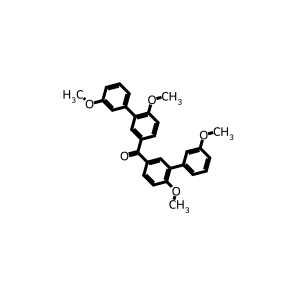 COc1cccc(-c2cc(C(=O)c3ccc(OC)c(-c4cccc(OC)c4)c3)ccc2OC)c1